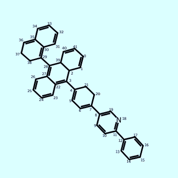 C1=CC2C(C3=CC=C(c4ccc(-c5ccccc5)nc4)CC3)=c3ccccc3=C(C3=c4ccccc4=CCC3)C2C=C1